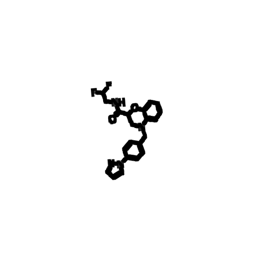 O=C(NCC(F)F)C1CN(Cc2ccc(-n3cccn3)cc2)c2ccccc2O1